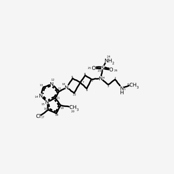 CNCCN(C1CC2(C1)CN(c1ncnn3c(Cl)cc(C)c13)C2)S(N)(=O)=O